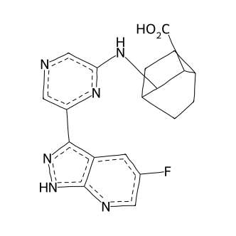 O=C(O)C1C2CCC(CC2)C1Nc1cncc(-c2n[nH]c3ncc(F)cc23)n1